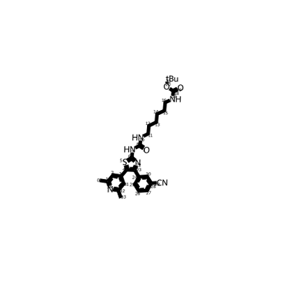 Cc1cc(-c2sc(NC(=O)NCCCCCCNC(=O)OC(C)(C)C)nc2-c2cccc(C#N)c2)cc(C)n1